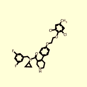 Cc1cc(Cl)c(OCCOc2ccc(C3=C(C(=O)N(Cc4cc(F)cc(F)c4)C4CC4)CNCC3)cc2)c(Cl)c1